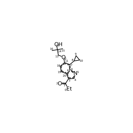 CCC(=O)c1cnn2c(C3CC3)c(OCC(C)(C)O)ccc12